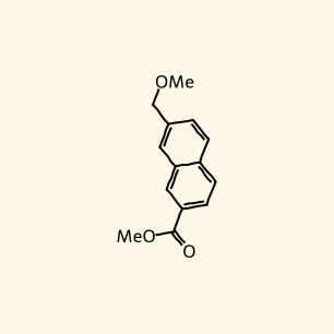 COCc1ccc2ccc(C(=O)OC)cc2c1